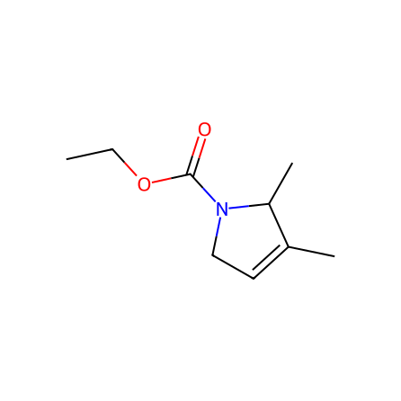 CCOC(=O)N1CC=C(C)C1C